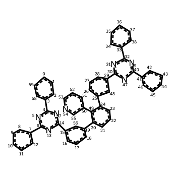 c1ccc(-c2nc(-c3ccccc3)nc(-c3cccc(-c4cccc(-c5cccc(-c6nc(-c7ccccc7)nc(-c7ccccc7)n6)c5)c4-c4cccnc4)c3)n2)cc1